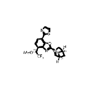 CO[C@H](c1ccc(-c2nccs2)c2oc(N3C[C@H]4C[C@H](C3)N4)nc12)C(F)(F)F